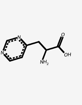 NC(Cc1ccncn1)C(=O)O